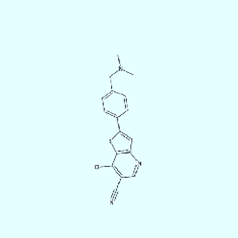 CN(C)Cc1ccc(-c2cc3ncc(C#N)c(Cl)c3s2)cc1